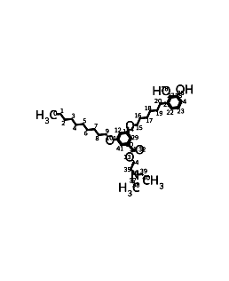 CCCCCCCCCCOc1cc(OCCCCCCc2cccc(O)c2O)cc(C(=O)OCCN(CC)CC)c1